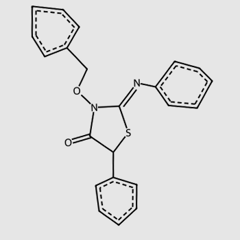 O=C1C(c2ccccc2)SC(=Nc2ccccc2)N1OCc1ccccc1